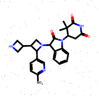 CC1(C)C(=O)NC(=O)CC1N1C(=O)C(N2CC(C3CNC3)C2c2ccc([N+](=O)[O-])nc2)c2ccccc21